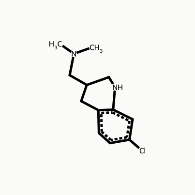 CN(C)CC1CNc2cc(Cl)ccc2C1